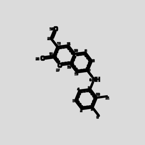 Cc1cccc(Nc2ccc3cc(C=O)c(=O)oc3c2)c1C